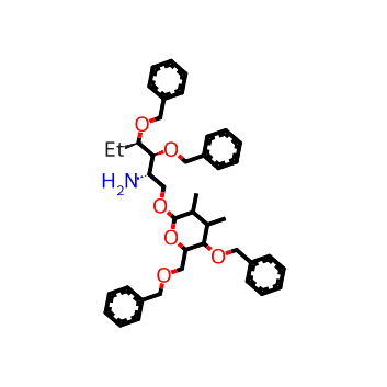 CC[C@@H](OCc1ccccc1)[C@@H](OCc1ccccc1)[C@@H](N)COC1OC(COCc2ccccc2)C(OCc2ccccc2)C(C)C1C